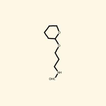 O=CNCCCOC1CCCCO1